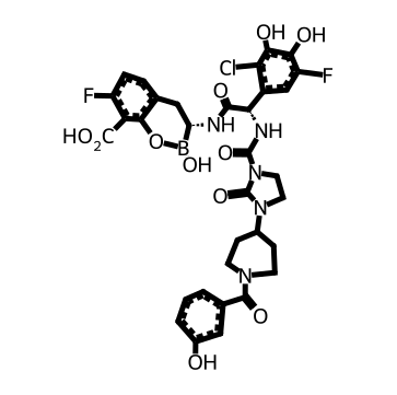 O=C(O)c1c(F)ccc2c1OB(O)[C@@H](NC(=O)[C@@H](NC(=O)N1CCN(C3CCN(C(=O)c4cccc(O)c4)CC3)C1=O)c1cc(F)c(O)c(O)c1Cl)C2